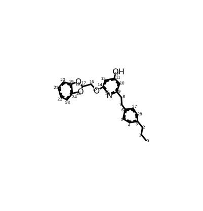 CCCc1ccc(CCc2cc(O)cc(OCC3Oc4ccccc4O3)n2)cc1